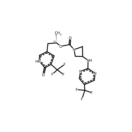 C[C@@H](Cc1c[nH]c(=O)c(C(F)(F)F)c1)OC(=O)N1CC(Nc2ncc(C(F)(F)F)cn2)C1